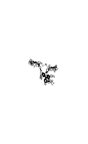 C[N+](C)(CCCS(=O)(=O)[O-])CCOCCOc1cc(OCCOCC[N+](C)(C)CCCS(=O)(=O)[O-])c(C2=C3C=CC(=O)C=C3[Si](C)(C)c3cc(O)ccc32)cc1N=[N+]=[N-]